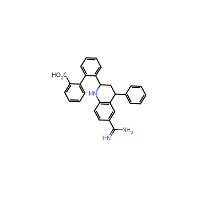 N=C(N)c1ccc2c(c1)C(c1ccccc1)CC(c1ccccc1-c1ccccc1C(=O)O)N2